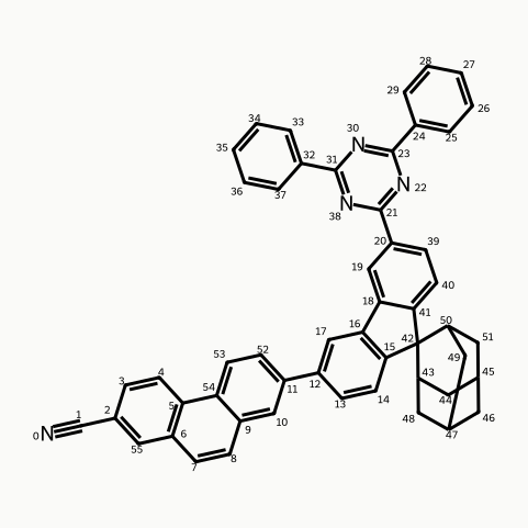 N#Cc1ccc2c(ccc3cc(-c4ccc5c(c4)-c4cc(-c6nc(-c7ccccc7)nc(-c7ccccc7)n6)ccc4C54C5CC6CC(C5)CC4C6)ccc32)c1